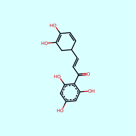 O=C(C=CC1C=CC(O)=C(O)C1)c1c(O)cc(O)cc1O